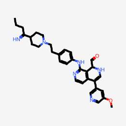 CCCC(=N)C1CCN(CCc2ccc(Nc3nccc4c3C(C=O)NC=C4c3cncc(OC)c3)cc2)CC1